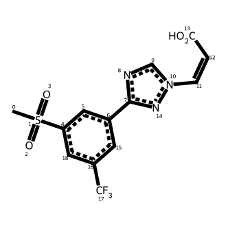 CS(=O)(=O)c1cc(-c2ncn(/C=C\C(=O)O)n2)cc(C(F)(F)F)c1